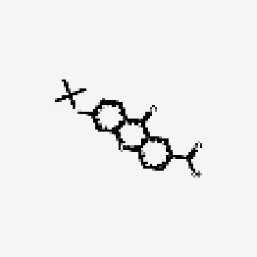 CC(C)(C)Sc1ccc2c(=O)c3cc(C(=O)O)ccc3oc2c1